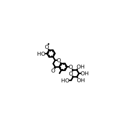 COc1ccc(C2CC(=O)c3c(C)cc(OC4OC(CO)C(O)C(O)C4O)cc3O2)cc1O